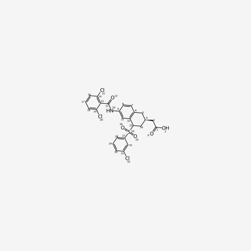 O=C(O)C[C@@H]1Cc2ccc(NC(=O)c3c(Cl)cccc3Cl)cc2C(S(=O)(=O)c2cccc(Cl)c2)C1